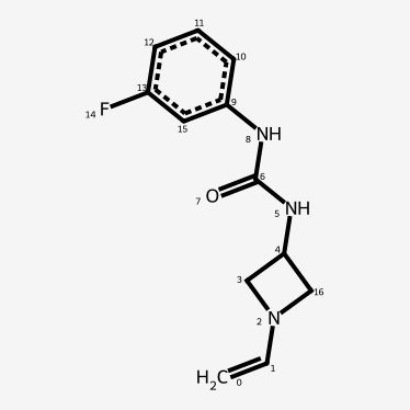 C=CN1CC(NC(=O)Nc2cccc(F)c2)C1